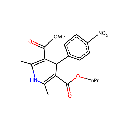 CCCOC(=O)C1=C(C)NC(C)=C(C(=O)OC)C1c1ccc([N+](=O)[O-])cc1